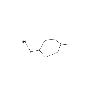 CC1CCC([CH][NH])CC1